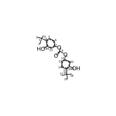 CC(C)(C)c1ccc(OC(=O)Oc2ccc(C(C)(C)C)c(O)c2)cc1O